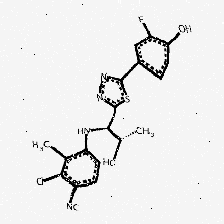 [C-]#[N+]c1ccc(N[C@@H](c2nnc(-c3ccc(O)c(F)c3)s2)[C@H](C)O)c(C)c1Cl